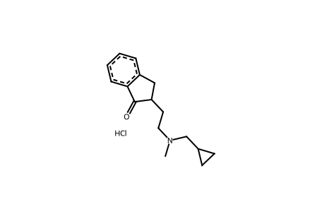 CN(CCC1Cc2ccccc2C1=O)CC1CC1.Cl